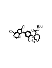 Cc1cc(-n2c(Cl)cc3c(Cl)ncnc32)ccc1[C@@H]1COCCN1C(=O)OC(C)(C)C